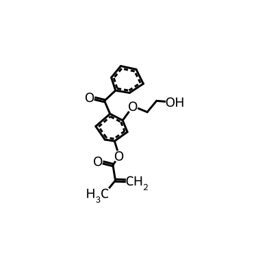 C=C(C)C(=O)Oc1ccc(C(=O)c2ccccc2)c(OCCO)c1